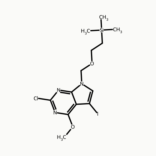 COc1nc(Cl)nc2c1c(I)cn2COCC[Si](C)(C)C